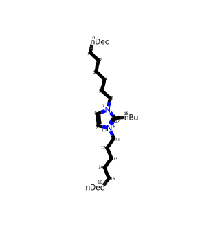 CCCCCCCCCCCCCCCCn1cc[n+](CCCCCCCCCCCCCCC)c1CCCC